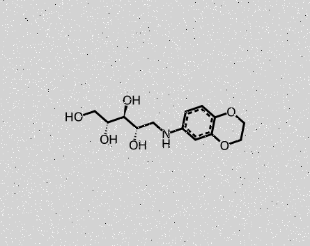 OC[C@@H](O)[C@@H](O)[C@@H](O)CNc1ccc2c(c1)OCCO2